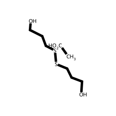 CC(=O)O.OCCCSSCCCO